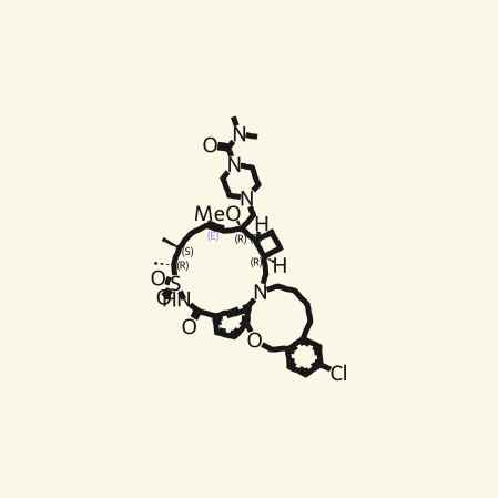 CO[C@@]1(CN2CCN(C(=O)N(C)C)CC2)/C=C/C[C@H](C)[C@@H](C)S(=O)(=O)NC(=O)c2ccc3c(c2)N(CCCCc2cc(Cl)ccc2CO3)C[C@@H]2CC[C@H]21